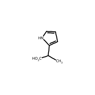 CC(C(=O)O)c1ccc[nH]1